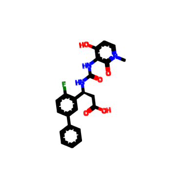 Cn1ccc(O)c(NC(=O)N[C@@H](CC(=O)O)c2cc(-c3ccccc3)ccc2F)c1=O